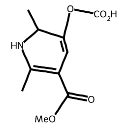 COC(=O)C1=C(C)NC(C)C(OC(=O)O)=C1